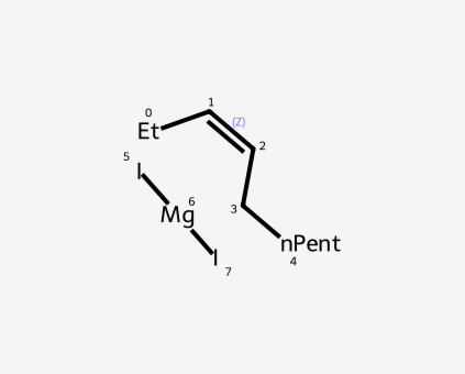 [CH2]C/C=C\CCCCCC.[I][Mg][I]